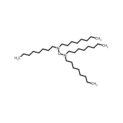 CCCCCCC[CH2][Al]([CH2]CCCCCCC)[O][Al]([CH2]CCCCCCC)[CH2]CCCCCCC